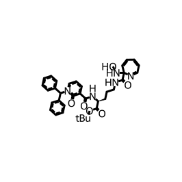 CC(C)(C)OC(=O)[C@H](CCCNC(=O)C1(NO)C=CC=CC=N1)NC(=O)c1cccn(C(c2ccccc2)c2ccccc2)c1=O